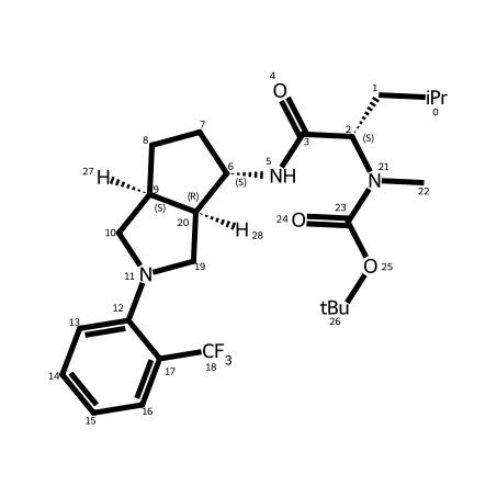 CC(C)C[C@@H](C(=O)N[C@H]1CC[C@@H]2CN(c3ccccc3C(F)(F)F)C[C@@H]21)N(C)C(=O)OC(C)(C)C